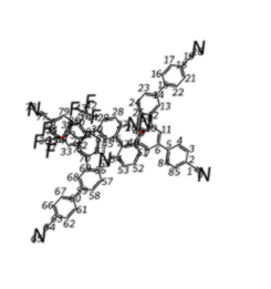 N#Cc1ccc(-c2ccc3c(c2)c2cc(-c4ccc(C#N)cc4)ccc2n3-c2ccc(-c3ccc(C(F)(F)F)cc3C(F)(F)F)cc2-c2c(C#N)cccc2-n2c3ccc(-c4ccc(C#N)cc4)cc3c3cc(-c4ccc(C#N)cc4)ccc32)cc1